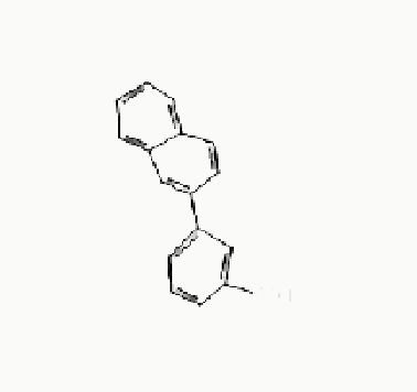 O=C(O)c1cccc(-c2ccc3ccccc3c2)c1